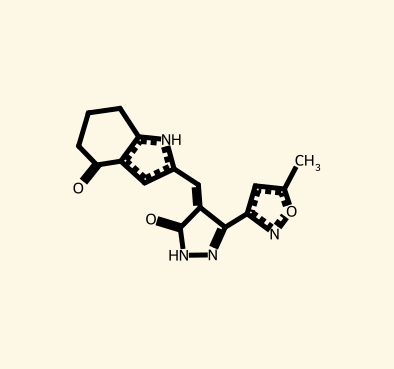 Cc1cc(C2=NNC(=O)C2=Cc2cc3c([nH]2)CCCC3=O)no1